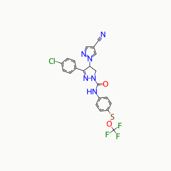 N#Cc1cnn(C2CN(C(=O)Nc3ccc(SOC(F)(F)F)cc3)N=C2c2ccc(Cl)cc2)c1